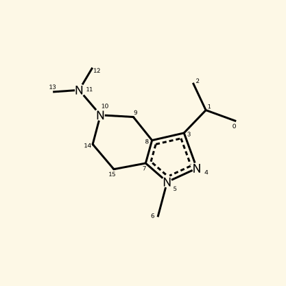 CC(C)c1nn(C)c2c1CN(N(C)C)CC2